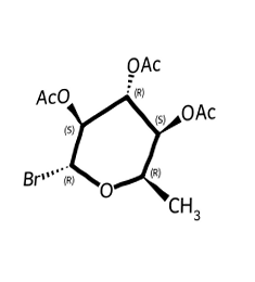 CC(=O)O[C@@H]1[C@@H](OC(C)=O)[C@@H](C)O[C@H](Br)[C@H]1OC(C)=O